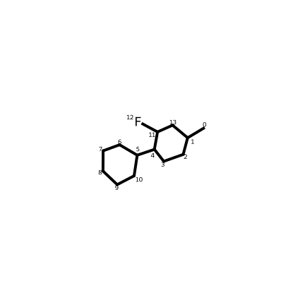 CC1CCC(C2CCCCC2)C(F)C1